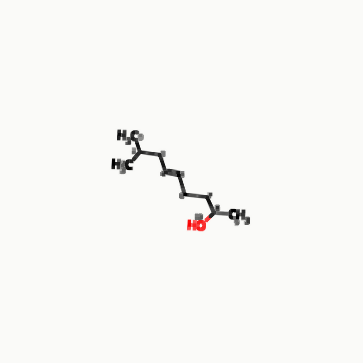 CC(C)CC=CCCC(C)O